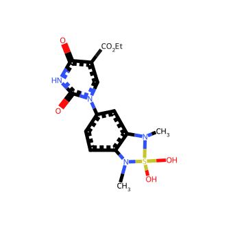 CCOC(=O)c1cn(-c2ccc3c(c2)N(C)S(O)(O)N3C)c(=O)[nH]c1=O